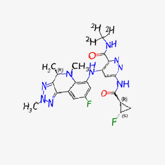 [2H]C([2H])([2H])NC(=O)c1nnc(NC(=O)[C@H]2C[C@@H]2F)cc1Nc1cc(F)cc2c1N(C)[C@H](C)c1nn(C)nc1-2